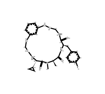 C[C@@H]1C(=O)N[C@H](Cc2ccc(F)cc2)C(=O)NCCOc2cccc(c2)OCCN[C@@H](C2CC2)C(=O)N1C